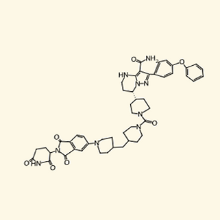 NC(=O)c1c(-c2ccc(Oc3ccccc3)cc2)nn2c1NCC[C@H]2C1CCN(C(=O)N2CCC(CC3CCN(c4ccc5c(c4)C(=O)N(C4CCC(=O)NC4=O)C5=O)CC3)CC2)CC1